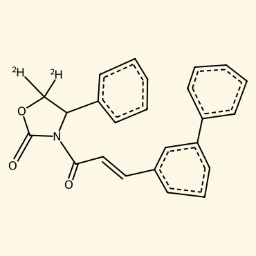 [2H]C1([2H])OC(=O)N(C(=O)C=Cc2cccc(-c3ccccc3)c2)C1c1ccccc1